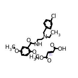 CCN(CCNC(=O)c1cc(OC)ccc1OC)Cc1ccc(Cl)cc1.O=C(O)/C=C/C(=O)O